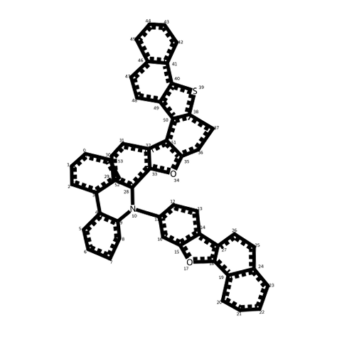 c1ccc(-c2ccccc2N(c2ccc3c(c2)oc2c4ccccc4ccc32)c2cccc3c2oc2ccc4sc5c6ccccc6ccc5c4c23)cc1